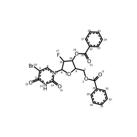 O=C(OCC1OC(n2cc(Br)c(=O)[nH]c2=O)C(F)C1OC(=O)c1ccccc1)c1ccccc1